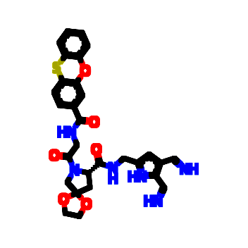 N=Cc1cc(CNC(=O)[C@@H]2CC3(CN2C(=O)CNC(=O)c2ccc4c(c2)Oc2ccccc2S4)OCCO3)[nH]c1C=N